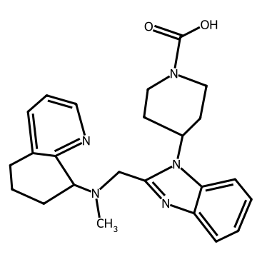 CN(Cc1nc2ccccc2n1C1CCN(C(=O)O)CC1)C1CCCc2cccnc21